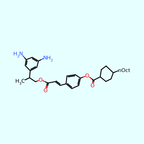 CCCCCCCCC1CCC(C(=O)Oc2ccc(/C=C/C(=O)OCC(C)c3cc(N)cc(N)c3)cc2)CC1